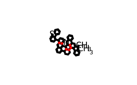 CC1(C)c2ccccc2-c2ccc(-c3ccccc3N(c3ccc(-c4cccc5sc6ccccc6c45)cc3)c3ccccc3-c3cccc4cccc(C5CCCCC5)c34)cc21